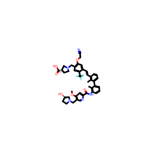 COc1cc(C(=O)Nc2cccc(-c3cccc(/C=C/c4cc(OCC#N)c(CN5CC[C@@H](C(=O)O)C5)cc4C(F)(F)F)c3C)c2C)ncc1CN1CC[C@@H](O)C1